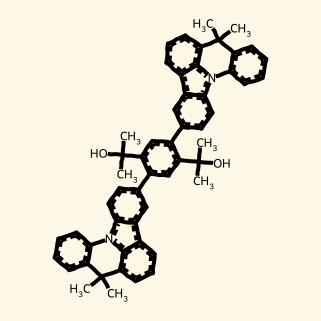 CC(C)(O)c1cc(-c2ccc3c(c2)c2cccc4c2n3-c2ccccc2C4(C)C)c(C(C)(C)O)cc1-c1ccc2c(c1)c1cccc3c1n2-c1ccccc1C3(C)C